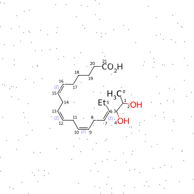 CC(O)CO.CC/C=C\C/C=C\C/C=C\C/C=C\CCCCC(=O)O